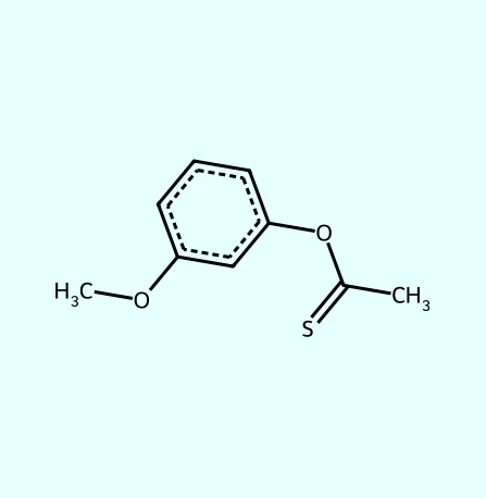 COc1cccc(OC(C)=S)c1